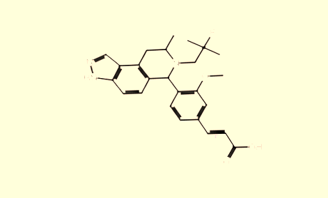 COc1cc(/C=C/C(=O)O)ccc1C1c2ccc3[nH]ncc3c2CC(C)N1CC(C)(C)F